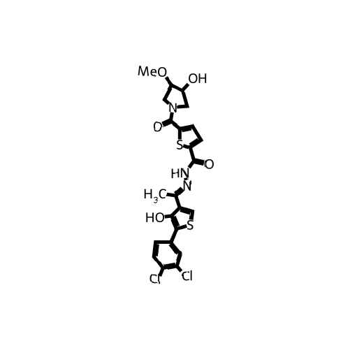 COC1CN(C(=O)c2ccc(C(=O)N/N=C(\C)c3csc(-c4ccc(Cl)c(Cl)c4)c3O)s2)CC1O